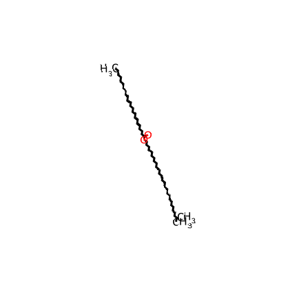 CCCCCCCCC=CCCCCCCCCCCCCCC(=O)OCCCCCCCCCCCCCCCCCCCCCCCCCCC(C)C